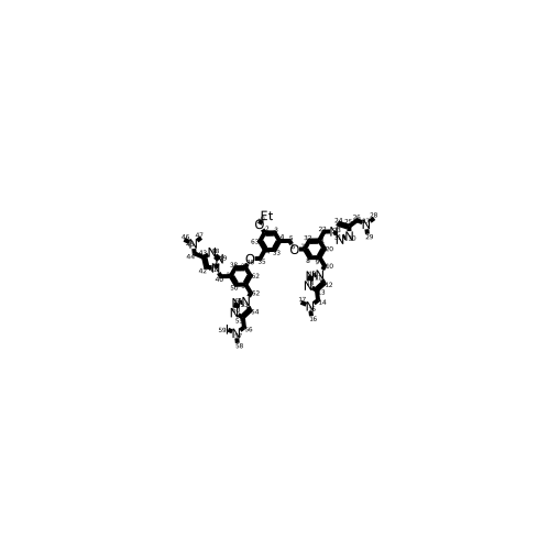 CCOc1cc(COc2cc(Cn3cc(CN(C)C)nn3)cc(Cn3cc(CN(C)C)nn3)c2)cc(COc2cc(Cn3cc(CN(C)C)nn3)cc(Cn3cc(CN(C)I)nn3)c2)c1